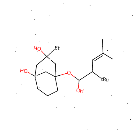 CCC1(O)CC2(O)CCCC(OC(O)C(C=C(C)C)C(C)(C)C)(C1)C2